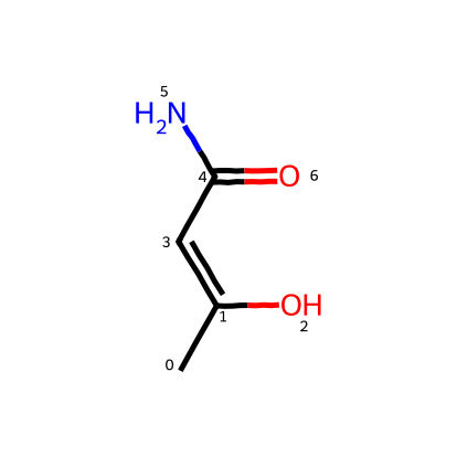 C/C(O)=C/C(N)=O